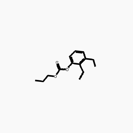 CCCOC(=O)Oc1cccc(CC)c1CC